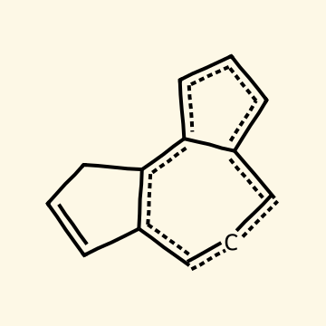 C1=Cc2cccc3cccc-3c2C1